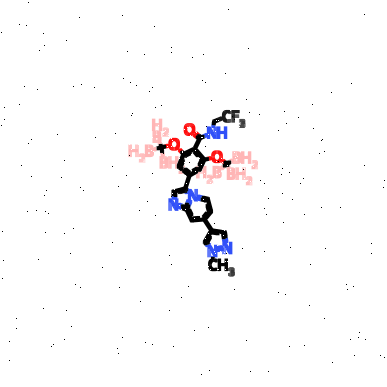 BC(B)(B)Oc1cc(-c2cnc3cc(-c4cnn(C)c4)ccn23)cc(OC(B)(B)B)c1C(=O)NCC(F)(F)F